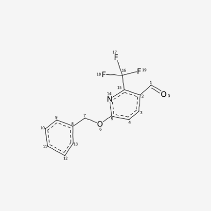 O=Cc1ccc(OCc2ccccc2)nc1C(F)(F)F